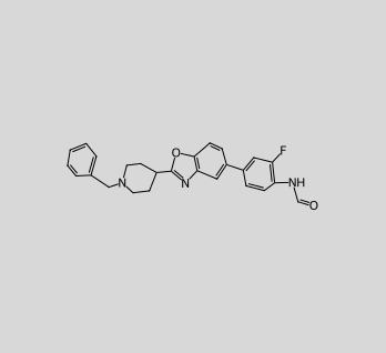 O=CNc1ccc(-c2ccc3oc(C4CCN(Cc5ccccc5)CC4)nc3c2)cc1F